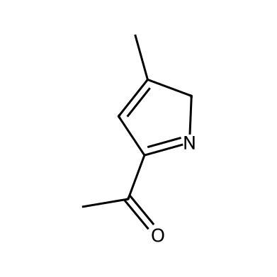 CC(=O)C1=NCC(C)=C1